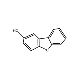 Oc1[c]cc2oc3ccccc3c2c1